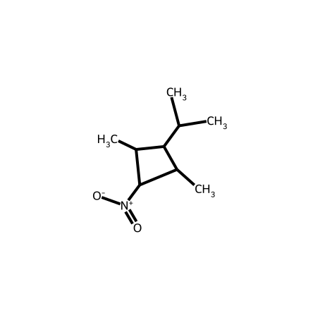 CC(C)C1C(C)C([N+](=O)[O-])C1C